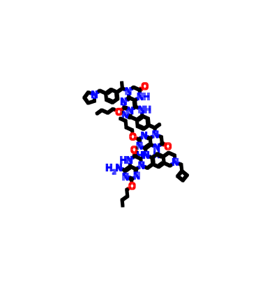 CCCCOc1nc(N)c2c(n1)N(Cc1cc3c(cc1Nc1nc(OCCCC)nc4c1NC(=O)CN4C(C)c1ccc(C#N)c(Nc4nc(OCCCC)nc5c4NC(=O)CN5C(C)c4cccc(CN5CCCC5)c4)c1)CCN(CC1CCC1)C3)CC(=O)N2